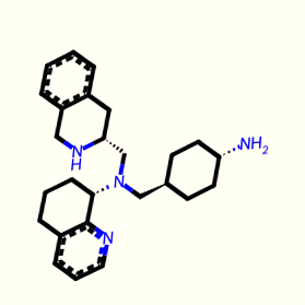 N[C@H]1CC[C@H](CN(C[C@H]2Cc3ccccc3CN2)[C@H]2CCCc3cccnc32)CC1